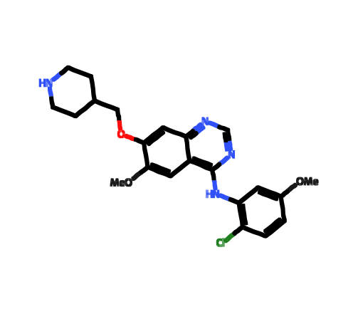 COc1ccc(Cl)c(Nc2ncnc3cc(OCC4CCNCC4)c(OC)cc23)c1